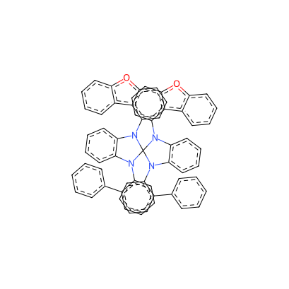 c1ccc(-c2ccccc2N2c3ccccc3N(c3cccc4oc5ccccc5c34)C23N(c2ccccc2-c2ccccc2)c2ccccc2N3c2cccc3oc4ccccc4c23)cc1